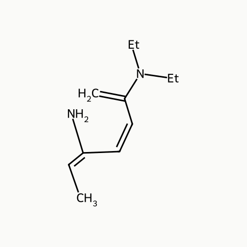 C=C(/C=C\C(N)=C/C)N(CC)CC